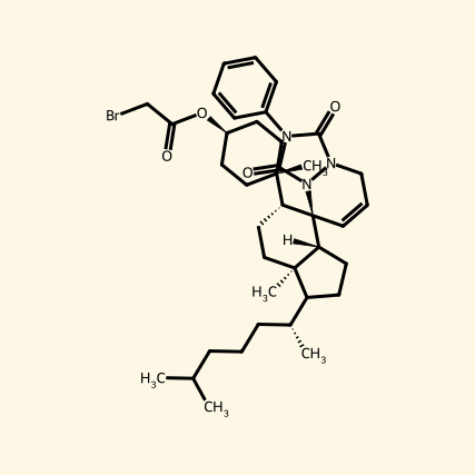 CC(C)CCC[C@@H](C)C1CC[C@H]2[C@@]3(C=CCn4c(=O)n(-c5ccccc5)c(=O)n43)[C@@H]([C@]3(C)CC[C@@H](OC(=O)CBr)CC3)CC[C@]12C